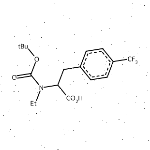 CCN(C(=O)OC(C)(C)C)C(Cc1ccc(C(F)(F)F)cc1)C(=O)O